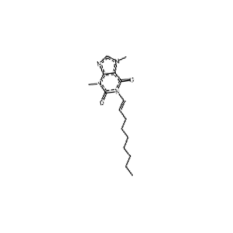 CCCCCCCC=Cn1c(=O)c2c(ncn2C)n(C)c1=O